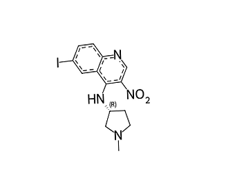 CN1CC[C@@H](Nc2c([N+](=O)[O-])cnc3ccc(I)cc23)C1